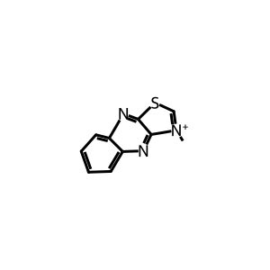 C[n+]1csc2nc3ccccc3nc21